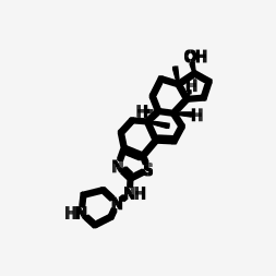 C[C@]12CC[C@H]3[C@@H](CC=C4c5sc(NN6CCNCC6)nc5CC[C@@]43C)[C@@H]1CC[C@@H]2O